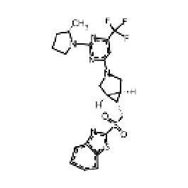 C[C@H]1CCCN1c1nc(N2C[C@@H]3[C@H](C2)[C@H]3CS(=O)(=O)c2nc3ccccc3s2)cc(C(F)(F)F)n1